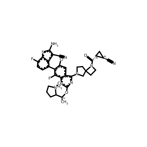 C[C@H](Oc1nc(N2CCC3(CCN3C(=O)[C@@H]3C[C@H]3C#N)C2)c2cc(Cl)c(-c3ccc(F)c4sc(N)c(C#N)c34)c(F)c2n1)C1CCCN1C